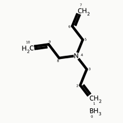 B.C=CCN(CC=C)CC=C